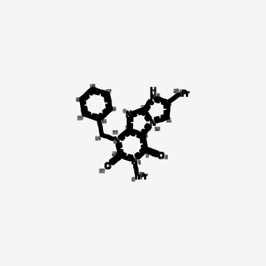 CCCn1c(=O)c2c(nc3[nH]c(C(C)C)cn32)n(Cc2ccccc2)c1=O